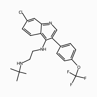 CC(C)(C)NCCNc1c(-c2ccc(OC(F)(F)F)cc2)cnc2cc(Cl)ccc12